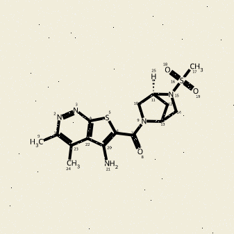 Cc1nnc2sc(C(=O)N3C[C@@H]4CC3CN4S(C)(=O)=O)c(N)c2c1C